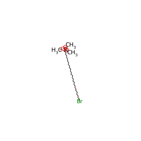 CCO[Si](CCCCCCCCCCCCCCCCCCCCCCCCCCCCCCBr)(OCC)OCC